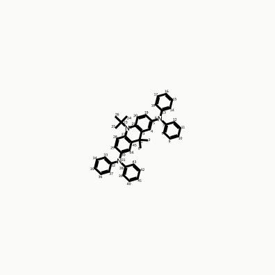 CC1(C)c2cc(N(c3ccccc3)c3ccccc3)ccc2N(C(C)(C)C)c2ccc(N(c3ccccc3)c3ccccc3)cc21